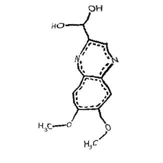 COc1cc2ncc(C(O)O)nc2cc1OC